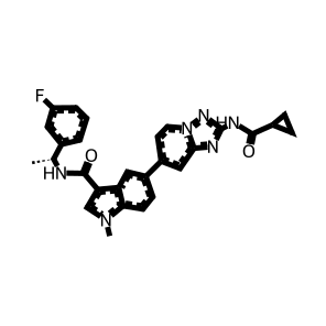 C[C@@H](NC(=O)c1cn(C)c2ccc(-c3ccn4nc(NC(=O)C5CC5)nc4c3)cc12)c1cccc(F)c1